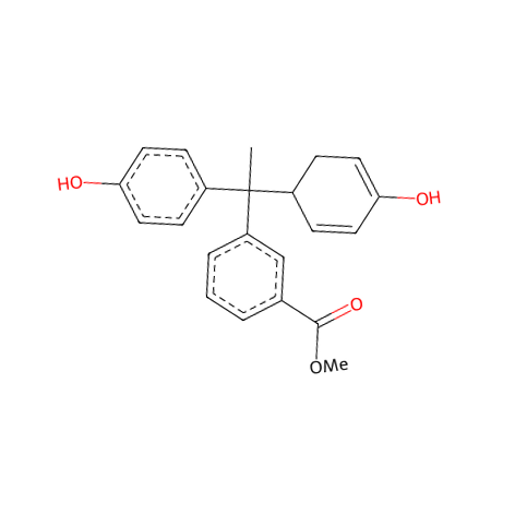 COC(=O)c1cccc(C(C)(c2ccc(O)cc2)C2C=CC(O)=CC2)c1